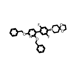 Fc1cc(N2CCC3(CC2)OCCO3)c(F)cc1-c1ccc(OCc2ccccc2)nc1OCc1ccccc1